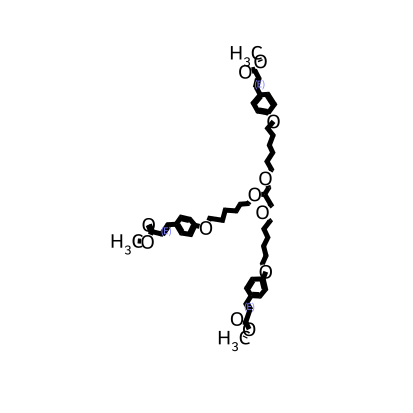 COC(=O)/C=C/c1ccc(OCCCCCCOCC(COCCCCCCOc2ccc(/C=C/C(=O)OC)cc2)OCCCCCCOc2ccc(/C=C/C(=O)OC)cc2)cc1